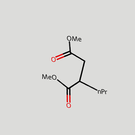 CCCC(CC(=O)OC)C(=O)OC